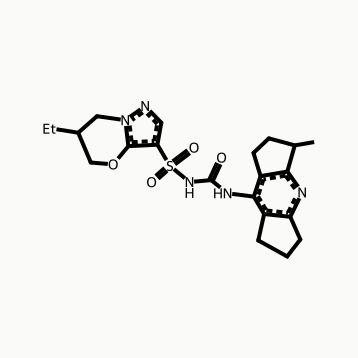 CCC1COc2c(S(=O)(=O)NC(=O)Nc3c4c(nc5c3CCC5C)CCC4)cnn2C1